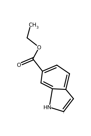 CCOC(=O)c1ccc2c[c][nH]c2c1